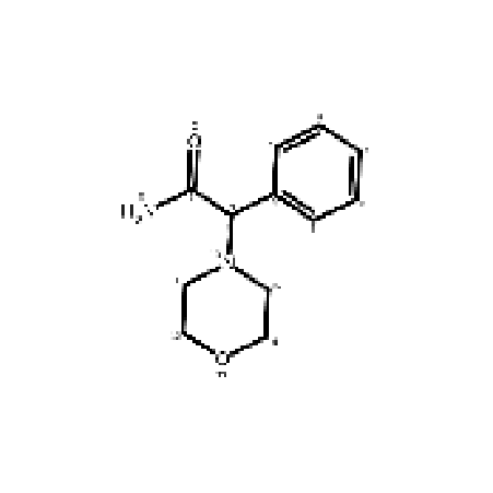 NC(=O)C(c1ccccc1)N1CCOCC1